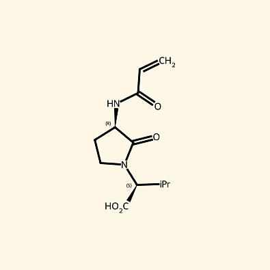 C=CC(=O)N[C@@H]1CCN([C@H](C(=O)O)C(C)C)C1=O